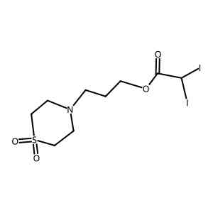 O=C(OCCCN1CCS(=O)(=O)CC1)C(I)I